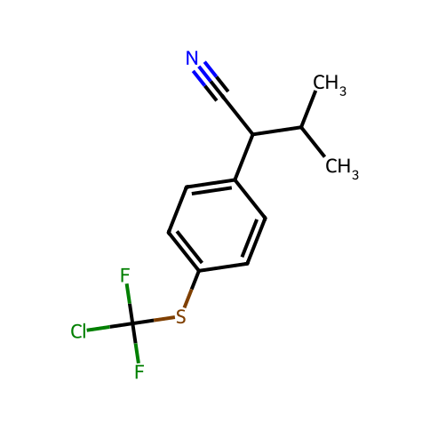 CC(C)C(C#N)c1ccc(SC(F)(F)Cl)cc1